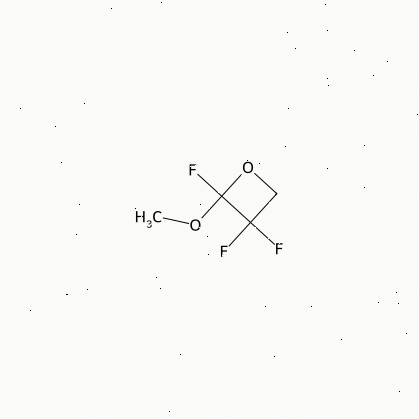 COC1(F)OCC1(F)F